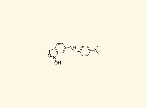 CN(C)c1ccc(CNc2ccc3c(c2)B(O)OC3)cc1